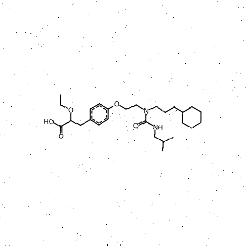 CCOC(Cc1ccc(OCCN(CCCC2CCCCC2)C(=O)NCC(C)C)cc1)C(=O)O